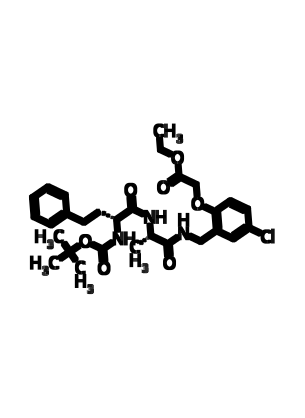 CCOC(=O)COc1ccc(Cl)cc1CNC(=O)[C@H](C)NC(=O)[C@@H](CCc1ccccc1)NC(=O)OC(C)(C)C